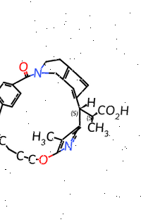 Cc1cc2cnc1OCCCCCc1ccc(cc1)C(=O)N1CCc3ccc(cc3C1)[C@@H]2[C@H](C)C(=O)O